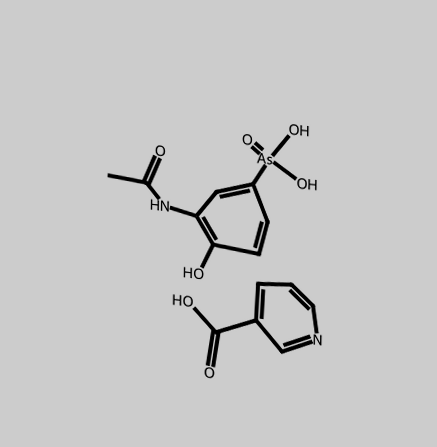 CC(=O)Nc1cc([As](=O)(O)O)ccc1O.O=C(O)c1cccnc1